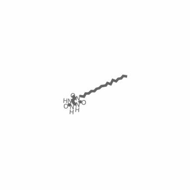 CCCCCCCCCCCCCCCCCCn1c(=O)[nH]c2[nH]c(=O)[nH]c2c1=O